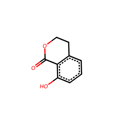 O=C1OCCc2cccc(O)c21